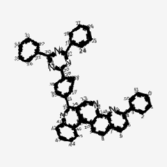 c1ccc(-c2ccc3ccc4c(ncc5c(-c6ccc(-c7nc(-c8ccccc8)nc(-c8ccccc8)n7)cc6)nc6ccccc6c54)c3n2)cc1